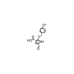 COc1ccc(CSc2[nH]c(C=O)nc2C(=O)O)cc1